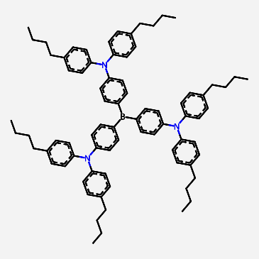 CCCCc1ccc(N(c2ccc(CCCC)cc2)c2ccc(B(c3ccc(N(c4ccc(CCCC)cc4)c4ccc(CCCC)cc4)cc3)c3ccc(N(c4ccc(CCCC)cc4)c4ccc(CCCC)cc4)cc3)cc2)cc1